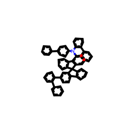 c1ccc(-c2ccc(N(c3ccccc3-c3ccccc3)c3cccc4c3-c3ccccc3C43c4ccccc4-c4ccc(-c5ccccc5-c5ccccc5)cc43)cc2)cc1